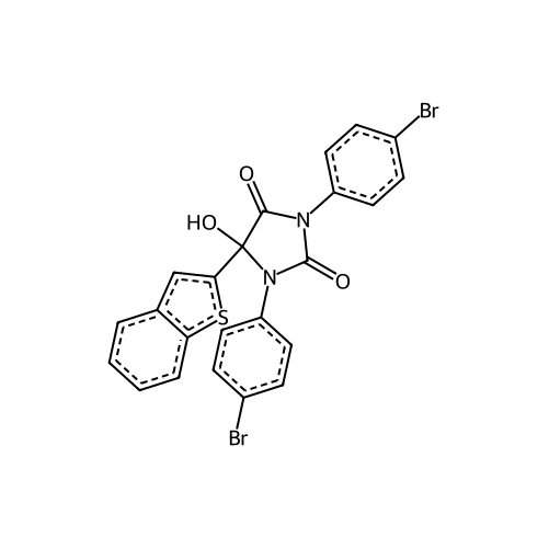 O=C1N(c2ccc(Br)cc2)C(=O)C(O)(c2cc3ccccc3s2)N1c1ccc(Br)cc1